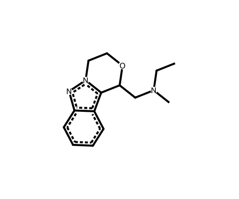 CCN(C)CC1OCCn2nc3ccccc3c21